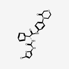 O=C(Nc1ccc(Cl)s1)N[C@@H](C(=O)Nc1ccc(N2CCOCC2=O)cc1)c1ccccc1